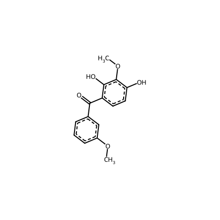 COc1cccc(C(=O)c2ccc(O)c(OC)c2O)c1